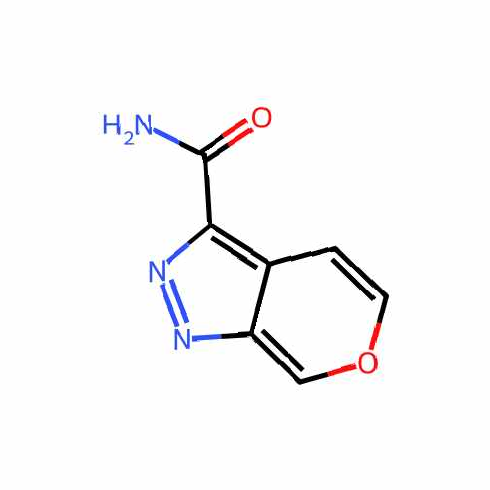 NC(=O)c1nnc2coccc1-2